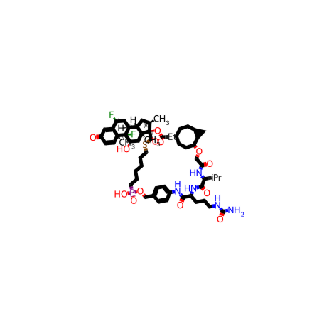 CCC(=O)O[C@]1(C(=O)SCCCCCCP(=O)(O)OCc2ccc(NC(=O)C(CCCNC(N)=O)NC(=O)C(NC(=O)COC3CCCCCC4=CC43)C(C)C)cc2)[C@H](C)C[C@H]2[C@@H]3C[C@H](F)C4=CC(=O)C=C[C@]4(C)[C@@]3(F)[C@@H](O)C[C@@]21C